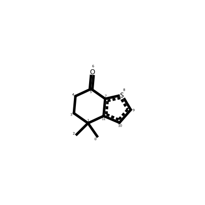 CC1(C)CCC(=O)c2sccc21